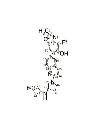 Cc1nc2c(F)c(O)c(-c3ccc4nc(N5CC[C@@H](NC6CC(F)C6)C5)ccc4n3)cc2o1